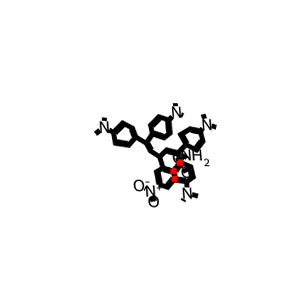 CN(C)c1ccc(C(=CC(C=C(c2ccc(N(C)C)cc2)c2ccc(N(C)C)cc2)c2cc([N+](=O)[O-])ccc2S(N)(=O)=O)c2ccc(N(C)C)cc2)cc1